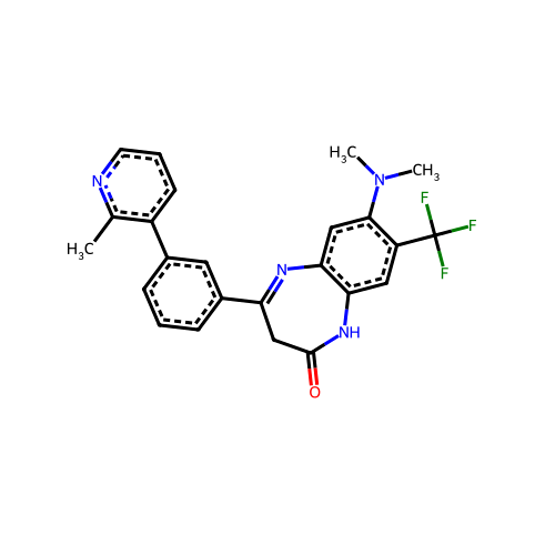 Cc1ncccc1-c1cccc(C2=Nc3cc(N(C)C)c(C(F)(F)F)cc3NC(=O)C2)c1